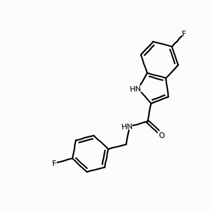 O=C(NCc1ccc(F)cc1)c1cc2cc(F)ccc2[nH]1